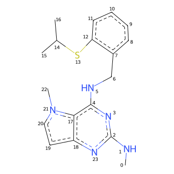 CNc1nc(NCc2ccccc2SC(C)C)c2c(ccn2C)n1